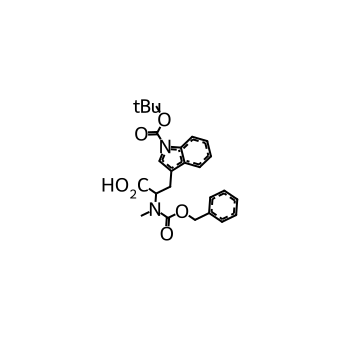 CN(C(=O)OCc1ccccc1)C(Cc1cn(C(=O)OC(C)(C)C)c2ccccc12)C(=O)O